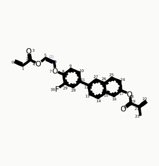 C=CC(=O)O/C=C\Oc1ccc(-c2ccc3cc(OC(=O)C(=C)C)ccc3c2)cc1F